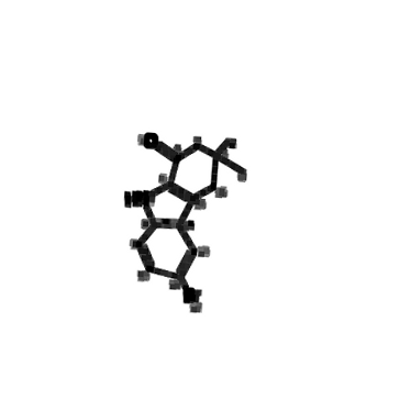 CC1(C)CC(=O)c2[nH]c3ccc(Br)cc3c2C1